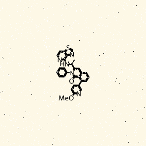 COc1ccc(-c2cccc3cc([C@H](C)Nc4nccc5scnc45)n(-c4ccccc4)c(=O)c23)cn1